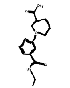 CCNC(=O)c1cccc(N2CCCC(C(=O)O)C2)c1